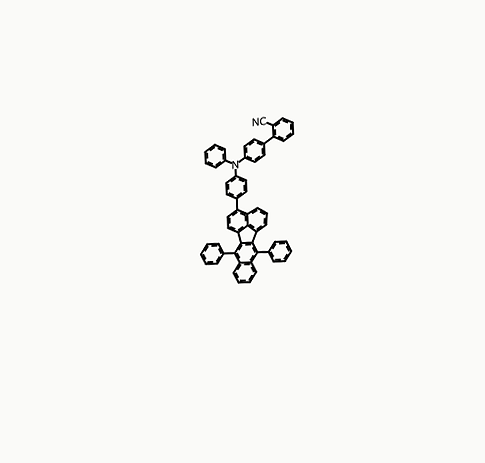 N#Cc1ccccc1-c1ccc(N(c2ccccc2)c2ccc(-c3ccc4c5c(cccc35)-c3c-4c(-c4ccccc4)c4ccccc4c3-c3ccccc3)cc2)cc1